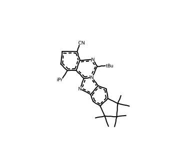 CC(C)c1ccc(C#N)c2nc(C(C)(C)C)n3c4cc5c(cc4nc3c12)C(C)(C)C(C)(C)C5(C)C